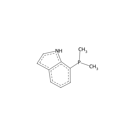 CP(C)c1cccc2cc[nH]c12